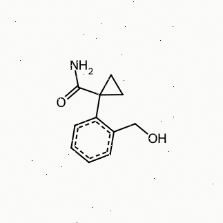 NC(=O)C1(c2ccccc2CO)CC1